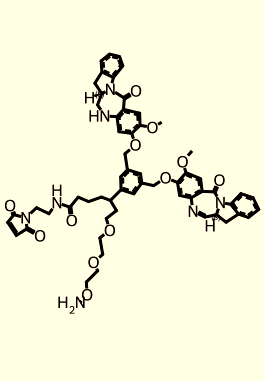 COc1cc2c(cc1OCc1cc(COc3cc4c(cc3OC)C(=O)N3c5ccccc5C[C@H]3CN4)cc(C(CCCC(=O)NCCN3C(=O)C=CC3=O)CCOCCOCCON)c1)N=C[C@@H]1Cc3ccccc3N1C2=O